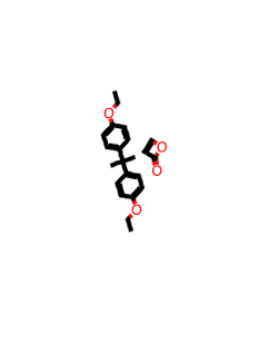 CCOc1ccc(C(C)(C)c2ccc(OCC)cc2)cc1.O=C1C=CO1